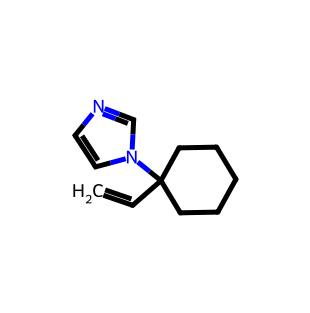 C=CC1(n2ccnc2)CCCCC1